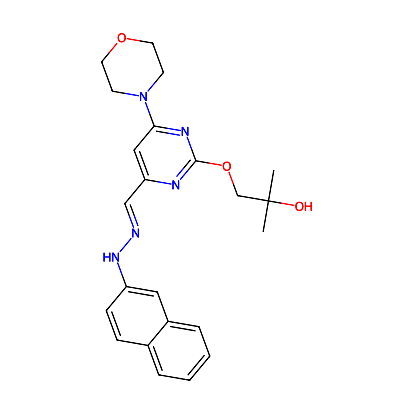 CC(C)(O)COc1nc(/C=N/Nc2ccc3ccccc3c2)cc(N2CCOCC2)n1